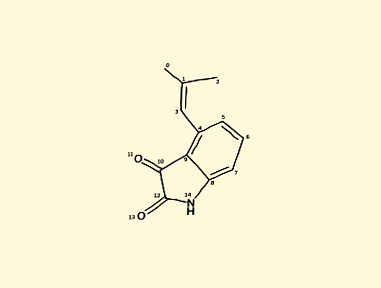 CC(C)=Cc1cccc2c1C(=O)C(=O)N2